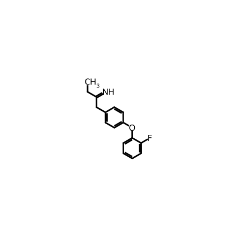 CCC(=N)Cc1ccc(Oc2ccccc2F)cc1